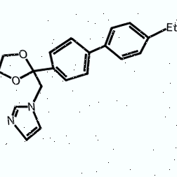 CCc1ccc(-c2ccc(C3(Cn4ccnc4)OCCO3)cc2)cc1